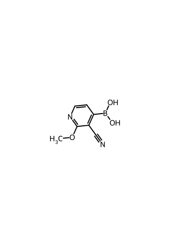 COc1nccc(B(O)O)c1C#N